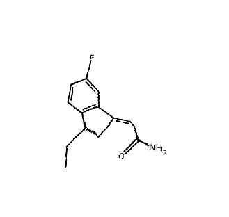 CCC1CC(=CC(N)=O)c2cc(F)ccc21